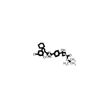 CC(C)(C)OC(=O)N1CC(O)(c2ccc(-c3noc(CCC4(c5cc(Cl)cc(Cl)c5)CCCCC4)n3)cc2)C1